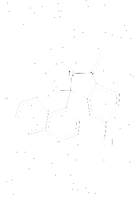 Cc1ccc2c(c1)C1(c3cccc4ccccc34)OCCN1C2=O